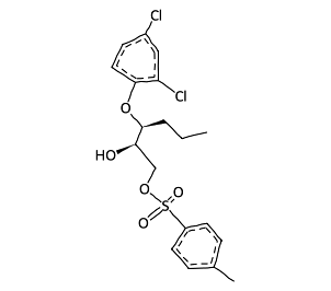 CCC[C@H](Oc1ccc(Cl)cc1Cl)[C@H](O)COS(=O)(=O)c1ccc(C)cc1